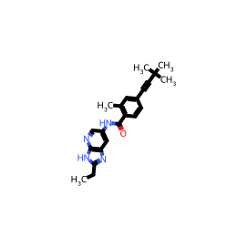 CCc1nc2cc(NC(=O)c3ccc(C#CC(C)(C)C)cc3C)cnc2[nH]1